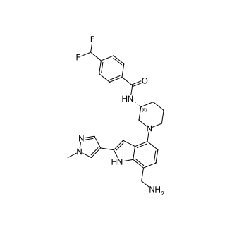 Cn1cc(-c2cc3c(N4CCC[C@@H](NC(=O)c5ccc(C(F)F)cc5)C4)ccc(CN)c3[nH]2)cn1